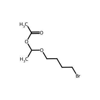 CC(=O)OC(C)OCCCCBr